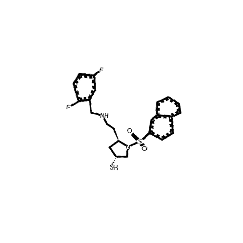 O=S(=O)(c1ccc2ccccc2c1)N1C[C@H](S)C[C@H]1CCNCc1cc(F)ccc1F